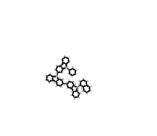 c1ccc(-n2c3ccccc3c3ccc(-n4c5ccccc5c5ccc(-c6ccc7c(c6)c6ccccc6n7-c6cccc7ccccc67)cc54)cc32)cc1